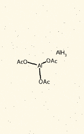 CC(=O)[O][Al]([O]C(C)=O)[O]C(C)=O.[AlH3]